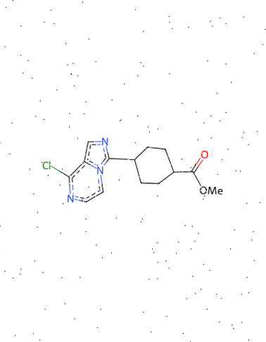 COC(=O)C1CCC(c2ncc3c(Cl)nccn23)CC1